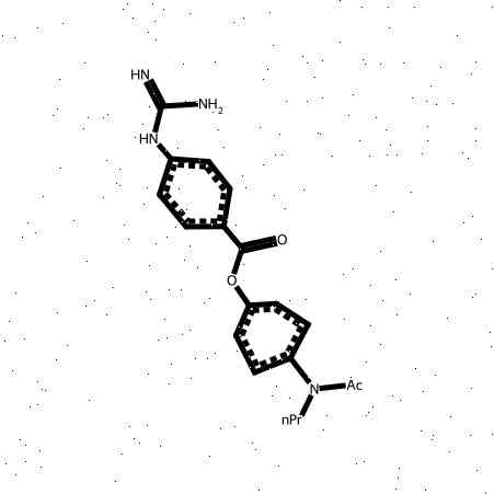 CCCN(C(C)=O)c1ccc(OC(=O)c2ccc(NC(=N)N)cc2)cc1